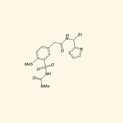 CCC(NC(=O)Cc1ccc(SC)c(S(=O)(=O)NC(=O)NC)c1)c1nccs1